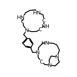 c1cc(CN2CCCN3CCN(CCCNCC2)CC3)ccc1CN1CCCNCCNCCCNCC1